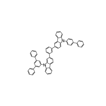 c1ccc(-c2ccc(-n3c4ccccc4c4cc(-c5cccc(-c6ccc7c8ccccc8n(-c8cc(-c9ccccc9)cc(-c9ccccc9)c8)c7c6)c5)ccc43)cc2)cc1